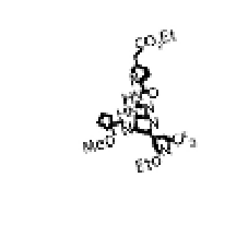 CCOC(=O)CCc1ccc(C(=O)Nc2nc3nc(-c4cc(OCC)nc(C(F)(F)F)c4)cc(N(C)CC4(COC)CCCC4)c3[nH]2)nc1